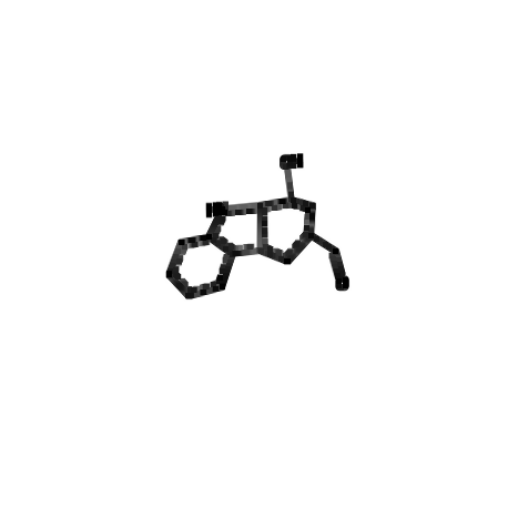 O=Cc1cc(O)c2[nH]c3ccccc3c2c1